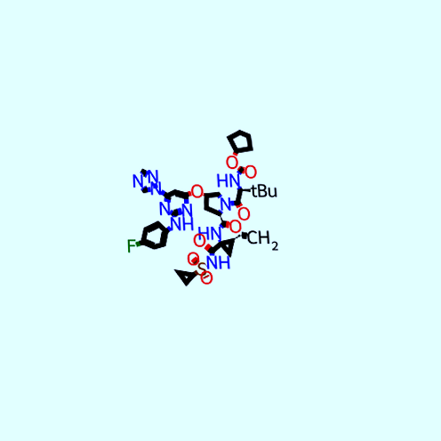 C=C[C@@H]1C[C@]1(NC(=O)[C@@H]1C[C@@H](Oc2cc(-n3cncn3)nc(Nc3ccc(F)cc3)n2)CN1C(=O)[C@@H](NC(=O)OC1CCCC1)C(C)(C)C)C(=O)NS(=O)(=O)C1CC1